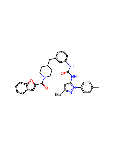 Cc1ccc(-n2nc(C(C)(C)C)cc2NC(=O)Nc2cccc(CC3CCN(C(=O)c4cc5ccccc5o4)CC3)c2)cc1